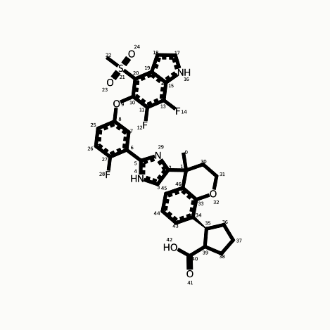 CC1(c2c[nH]c(-c3cc(Oc4c(F)c(F)c5[nH]ccc5c4S(C)(=O)=O)ccc3F)n2)CCOc2c([C@H]3CCCC3C(=O)O)cccc21